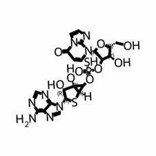 Nc1ncnc2c1ncn2[C@@H]1S[C@@H]2C(OP(=O)(S)OC3[C@H](n4ccc(=O)n5ccnc45)O[C@H](CO)[C@H]3O)[C@]2(O)[C@H]1O